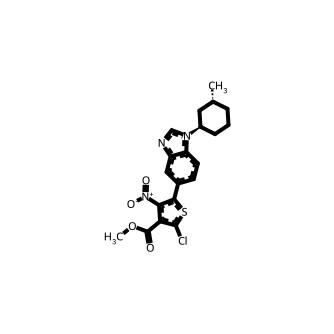 COC(=O)c1c(Cl)sc(-c2ccc3c(c2)ncn3[C@@H]2CCC[C@@H](C)C2)c1[N+](=O)[O-]